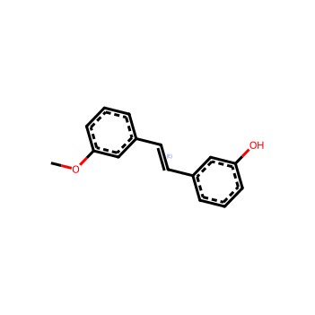 COc1cccc(/C=C/c2cccc(O)c2)c1